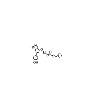 CN(C(=O)/C=C/CN1CCCC1)C1CC(Oc2cc(-c3ccc(O)cc3)cc3[nH]ncc23)C1